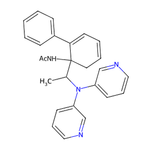 CC(=O)NC1(C(C)N(c2cccnc2)c2cccnc2)CC=CC=C1c1ccccc1